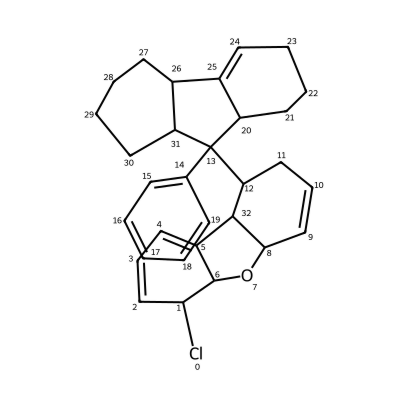 ClC1C=CC=C2C1OC1C=CCC(C3(c4ccccc4)C4CCCC=C4C4CCCCC43)C21